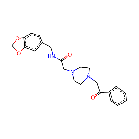 O=C(CN1CCN(CC(=O)c2ccccc2)CC1)NCc1ccc2c(c1)OCO2